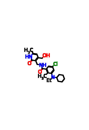 CCN(c1cc(Cl)cc(C(=O)NCc2c(CO)cc(C)[nH]c2=O)c1C)C1CCCCC1